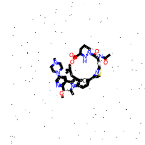 CCn1c(-c2cc(N3CCN(C)CC3)cnc2[C@H](C)OC)c2c3cc(ccc31)-c1csc(n1)C[C@H](NC(C)=O)C(=O)N1CCC[C@](C=O)(COCC(C)(C)C2)N1